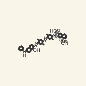 Cc1cc(N=Nc2cc3c(S(=O)(=O)O)cccc3cc2S(=O)(=O)O)c(C)cc1N=Nc1cc(C)c(N=Nc2ccc3cc(Nc4ccccc4)ccc3c2O)cc1C